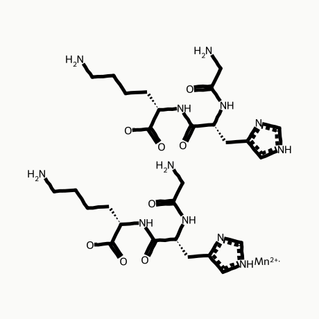 NCCCC[C@H](NC(=O)[C@@H](Cc1c[nH]cn1)NC(=O)CN)C(=O)[O-].NCCCC[C@H](NC(=O)[C@@H](Cc1c[nH]cn1)NC(=O)CN)C(=O)[O-].[Mn+2]